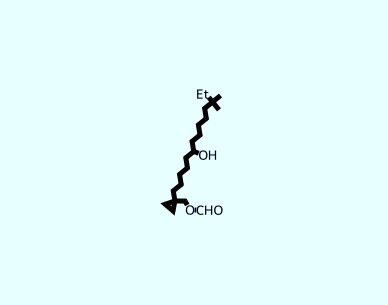 CCC(C)(C)CCCCCC(O)CCCCCC1(COC=O)CC1